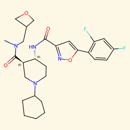 CN(CC1COC1)C(=O)[C@@H]1CN(C2CCCCC2)CC[C@H]1NC(=O)c1cc(-c2ccc(F)cc2F)on1